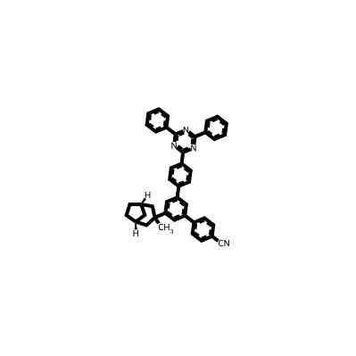 CC1(c2cc(-c3ccc(C#N)cc3)cc(-c3ccc(-c4nc(-c5ccccc5)nc(-c5ccccc5)n4)cc3)c2)C[C@@H]2CC[C@@H](C2)C1